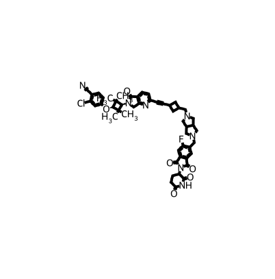 CC1(C)[C@H](Oc2ccc(C#N)c(Cl)c2)C(C)(C)[C@H]1N1Cc2nc(C#CC3CC(CN4CC5CN(Cc6cc7c(cc6F)C(=O)N(C6CCC(=O)NC6=O)C7=O)CC5C4)C3)ccc2C1=O